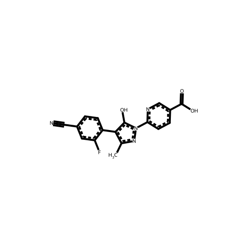 Cc1nn(-c2ccc(C(=O)O)cn2)c(O)c1-c1ccc(C#N)cc1F